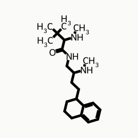 CNC(CCC1CCCc2ccccc21)CNC(=O)C(NC)C(C)(C)C